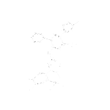 Cc1ncc(-c2nc(-c3ccccc3)c(NC(=O)N[C@@H]3c4cc(F)c(F)cc4C(C)(C)C[C@H]3O)cc2C)s1